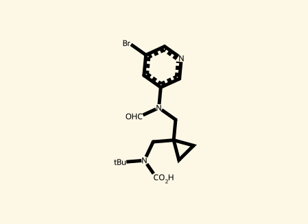 CC(C)(C)N(CC1(CN(C=O)c2cncc(Br)c2)CC1)C(=O)O